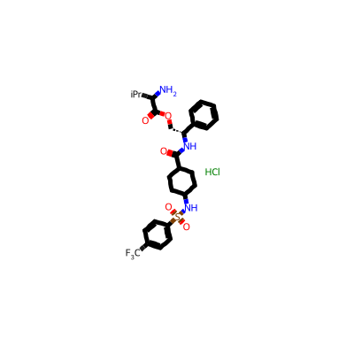 CC(C)C(N)C(=O)OC[C@@H](NC(=O)C1CCC(NS(=O)(=O)c2ccc(C(F)(F)F)cc2)CC1)c1ccccc1.Cl